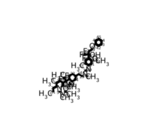 CCC=C(/N=C/N(C)CC)/C(C)=C\C(=C\OC)C(N=O)(C1CCC(CCN(C)/C=N/c2cc(OC)c(C(O)(CCOc3ccccc3)C(F)(F)F)cc2C)CC1)C(C)(F)F